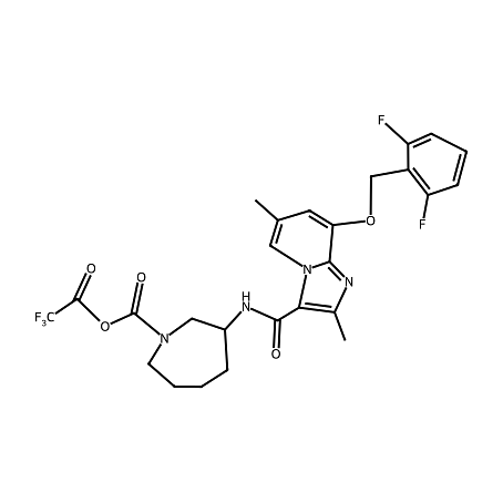 Cc1cc(OCc2c(F)cccc2F)c2nc(C)c(C(=O)NC3CCCCN(C(=O)OC(=O)C(F)(F)F)C3)n2c1